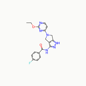 CCOc1nccc(N2Cc3[nH]nc(NC(=O)c4ccc(F)cc4)c3C2)n1